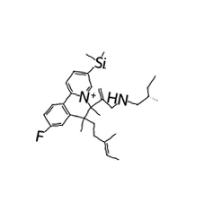 C=C(CNC[C@@H](C)CC)C1(C)[n+]2cc([Si](C)(C)C)ccc2-c2ccc(F)cc2C1(C)CC/C(C)=C/C